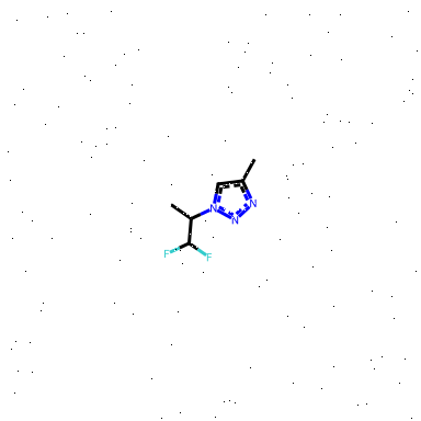 Cc1cn(C(C)C(F)F)nn1